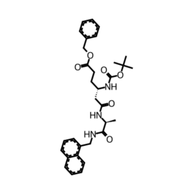 C[C@H](NC(=O)C[C@H](CCC(=O)OCc1ccccc1)NC(=O)OC(C)(C)C)C(=O)NCc1cccc2ccccc12